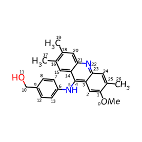 COc1cc2c(Nc3ccc(CO)cc3)c3cc(C)c(C)cc3nc2cc1C